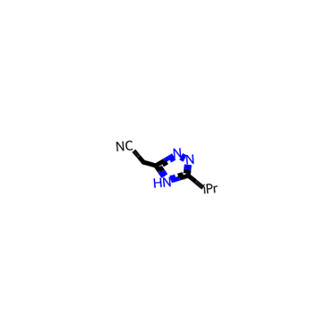 CC(C)c1nnc(CC#N)[nH]1